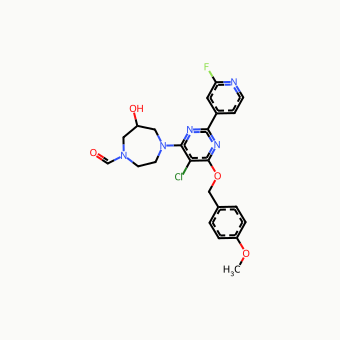 COc1ccc(COc2nc(-c3ccnc(F)c3)nc(N3CCN(C=O)CC(O)C3)c2Cl)cc1